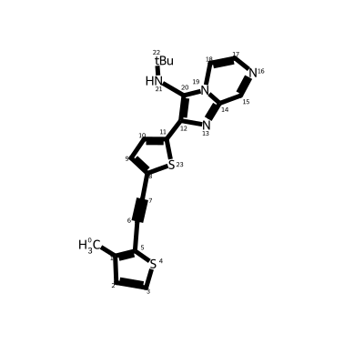 Cc1ccsc1C#Cc1ccc(-c2nc3cnccn3c2NC(C)(C)C)s1